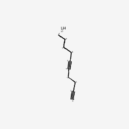 C#CCCC#CCCCC.[LiH]